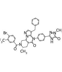 C[C@H]1Cc2c(n3ncc(Cc4ccccc4)c3n(-c3ccc(-c4nn(C)c(=O)[nH]4)cc3)c2=O)CN1C(=O)c1ccc(Br)c(C(F)(F)F)c1